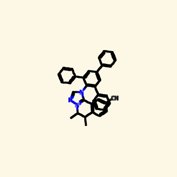 CC1c2ccc(C#N)cc2-c2n(-c3c(-c4ccccc4)cc(-c4ccccc4)cc3-c3ccccc3)cn[n+]2C1C